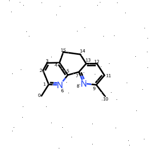 Cc1ccc2c(n1)-c1nc(C)ccc1CC2